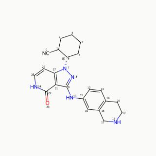 N#CC1CCCC[C@@H]1n1nc(Nc2ccc3c(c2)CNCC3)c2c(=O)[nH]ccc21